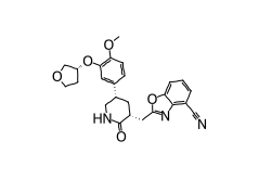 COc1ccc([C@H]2CNC(=O)[C@@H](Cc3nc4c(C#N)cccc4o3)C2)cc1O[C@@H]1CCOC1